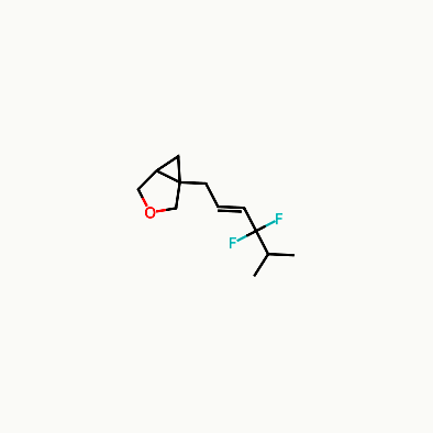 CC(C)C(F)(F)/C=C/CC12COCC1C2